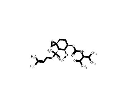 CO[C@H]1[C@H](C(C)(C)OCC=C(C)C)[C@]2(CC[C@H]1OC(=O)NC(C(N)=O)C(C)C)CO2